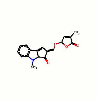 CC1=CC(O/C=C2\C=C3c4ccccc4N(C)C3C2=O)OC1=O